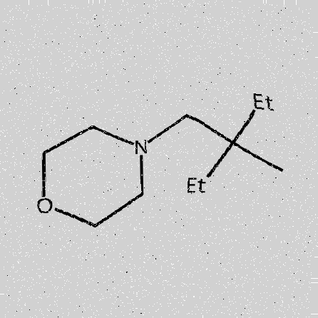 CCC(C)(CC)CN1CCOCC1